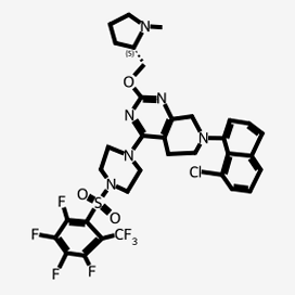 CN1CCC[C@H]1COc1nc2c(c(N3CCN(S(=O)(=O)c4c(F)c(F)c(F)c(F)c4C(F)(F)F)CC3)n1)CCN(c1cccc3cccc(Cl)c13)C2